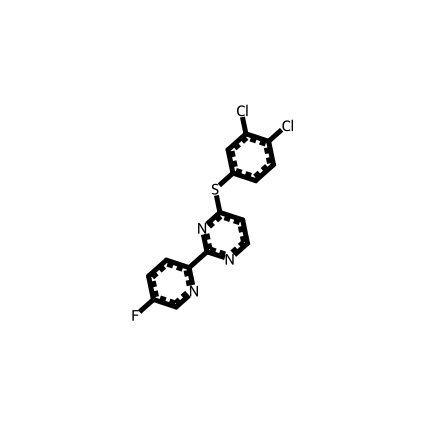 Fc1ccc(-c2nccc(Sc3ccc(Cl)c(Cl)c3)n2)nc1